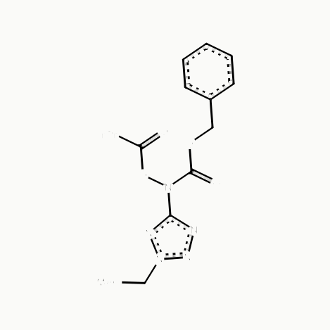 CCCC(=O)ON(C(=O)OCc1ccccc1)c1nnn(COC)n1